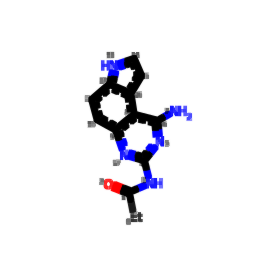 CCC(=O)Nc1nc(N)c2c(ccc3[nH]ccc32)n1